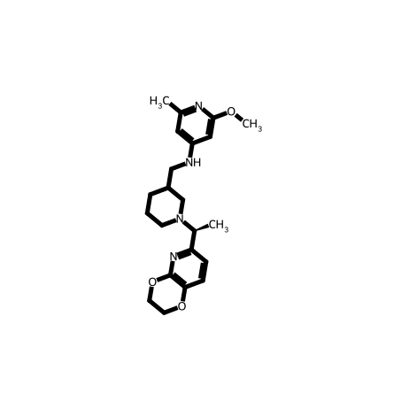 COc1cc(NCC2CCCN([C@@H](C)c3ccc4c(n3)OCCO4)C2)cc(C)n1